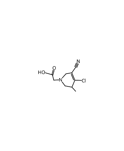 CC1CN(CC(=O)O)CC(C#N)=C1Cl